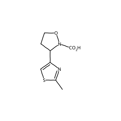 Cc1nc(C2CCON2C(=O)O)cs1